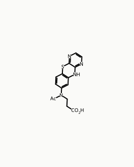 CC(=O)N(CCC(=O)O)c1ccc2c(c1)Nc1nccnc1S2